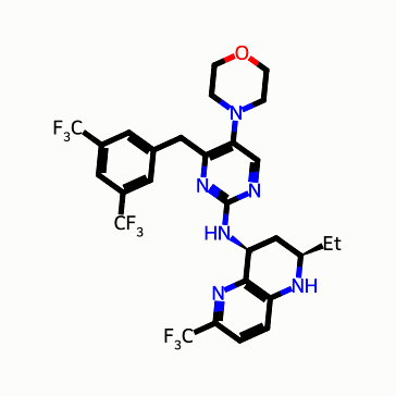 CC[C@@H]1C[C@H](Nc2ncc(N3CCOCC3)c(Cc3cc(C(F)(F)F)cc(C(F)(F)F)c3)n2)c2nc(C(F)(F)F)ccc2N1